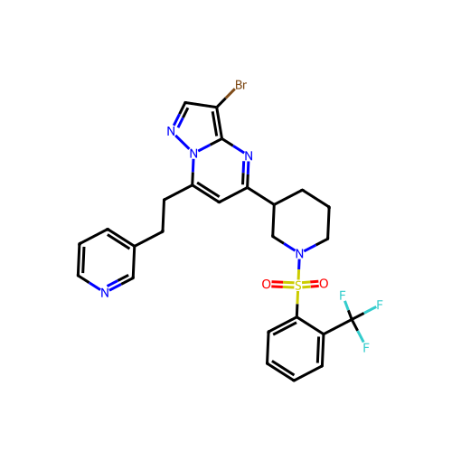 O=S(=O)(c1ccccc1C(F)(F)F)N1CCCC(c2cc(CCc3cccnc3)n3ncc(Br)c3n2)C1